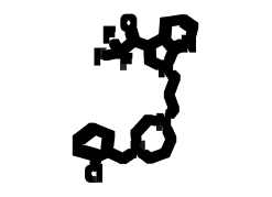 O=C(c1cn(CCCN2CCCN(Cc3ccccc3Cl)CC2)c2ncccc12)C(F)(F)F